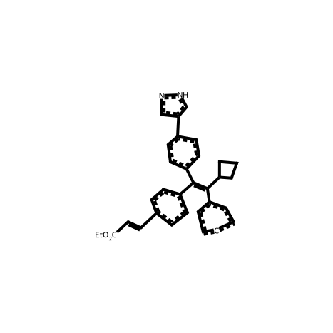 CCOC(=O)/C=C/c1ccc(/C(=C(\c2ccccc2)C2CCC2)c2ccc(-c3cn[nH]c3)cc2)cc1